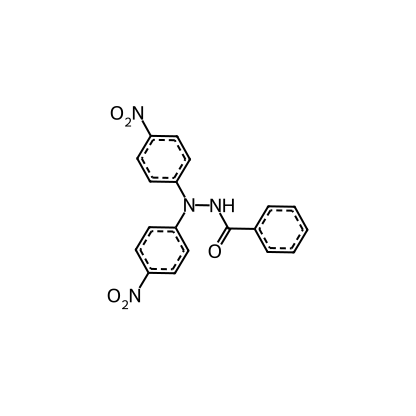 O=C(NN(c1ccc([N+](=O)[O-])cc1)c1ccc([N+](=O)[O-])cc1)c1ccccc1